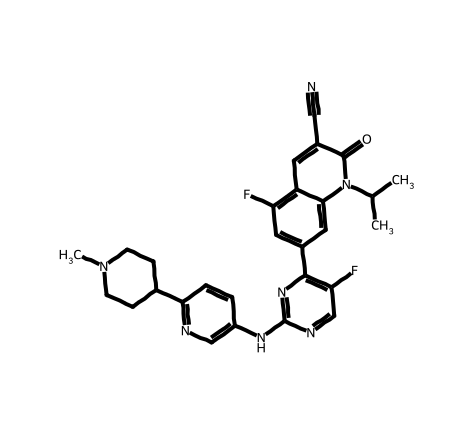 CC(C)n1c(=O)c(C#N)cc2c(F)cc(-c3nc(Nc4ccc(C5CCN(C)CC5)nc4)ncc3F)cc21